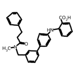 CN(Cc1cccc(-c2ccc(Nc3ccccc3C(=O)O)cc2)c1)C(=O)CCc1ccccc1